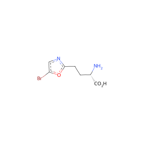 N[C@@H](CCc1ncc(Br)o1)C(=O)O